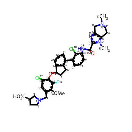 COc1c(CN2CCC(C(=O)O)C2)cc(Cl)c(OC2CCc3c(-c4cccc(NC(=O)c5nc6c(n5C)CCN(C)C6)c4Cl)cccc32)c1F